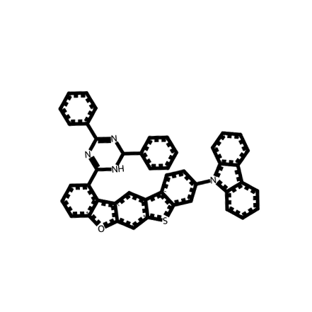 c1ccc(C2=NC(c3ccccc3)NC(c3cccc4oc5cc6sc7cc(-n8c9ccccc9c9ccccc98)ccc7c6cc5c34)=N2)cc1